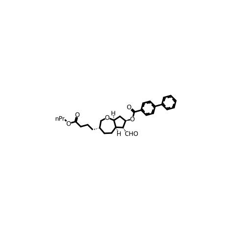 CCCOC(=O)CCC[C@H]1CC[C@@H]2[C@@H](C=O)[C@H](OC(=O)c3ccc(-c4ccccc4)cc3)C[C@@H]2OC1